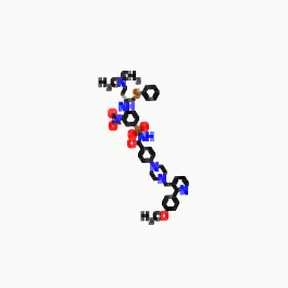 COc1ccc(-c2ncccc2CN2CCN(c3ccc(C(=O)NS(=O)(=O)c4ccc(N[C@H](CCN(C)C)CSc5ccccc5)c([N+](=O)[O-])c4)cc3)CC2)cc1